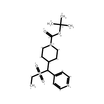 CCS(=O)(=O)C(c1ccncc1)C1CCN(C(=O)OC(C)(C)C)CC1